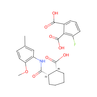 COc1ccc(C)cc1NC(=O)[C@H]1CCCC[C@H]1C(=O)O.O=C(O)c1cccc(F)c1C(=O)O